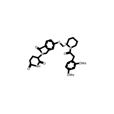 COc1ccc(CC(=O)N2CCCC[C@H]2COc2ccc3c(c2)CN(C2CCC(=O)NC2=O)C3=O)c(OC)c1